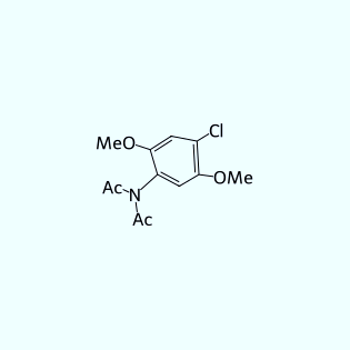 COc1cc(N(C(C)=O)C(C)=O)c(OC)cc1Cl